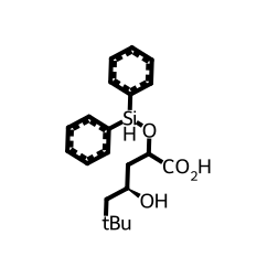 CC(C)(C)C[C@H](O)CC(O[SiH](c1ccccc1)c1ccccc1)C(=O)O